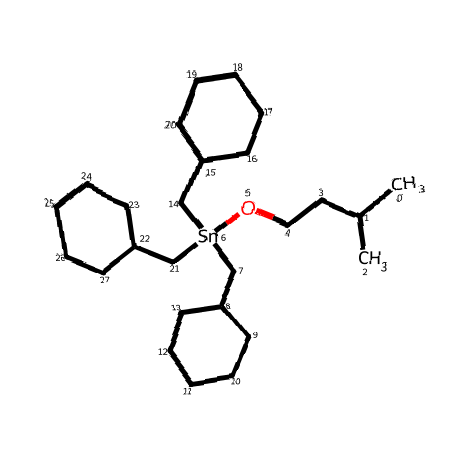 CC(C)CC[O][Sn]([CH2]C1CCCCC1)([CH2]C1CCCCC1)[CH2]C1CCCCC1